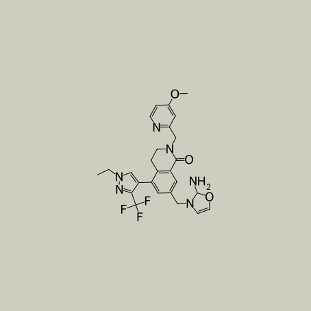 CCn1cc(-c2cc(CN3C=COC3N)cc3c2CCN(Cc2cc(OC)ccn2)C3=O)c(C(F)(F)F)n1